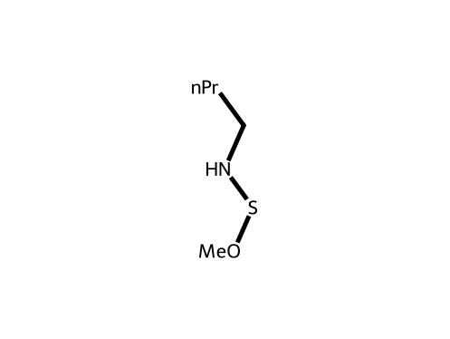 CCCCNSOC